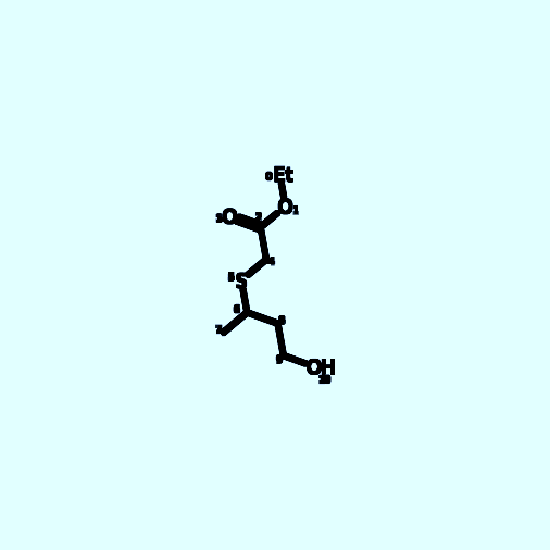 CCOC(=O)CSC(C)CCO